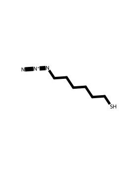 [N-]=[N+]=NCCCCCCS